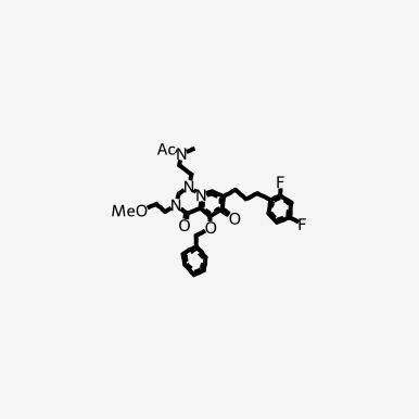 COCCN1CN(CCN(C)C(C)=O)n2cc(CCCc3ccc(F)cc3F)c(=O)c(OCc3ccccc3)c2C1=O